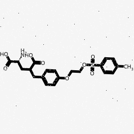 Cc1ccc(S(=O)(=O)OCCOc2ccc(CC(C[C@@H](N)C(=O)O)C(=O)O)cc2)cc1